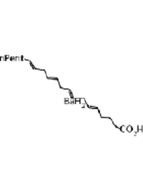 CCCCCC=CCC=CCC=CCC=CCCCC(=O)O.[BaH2]